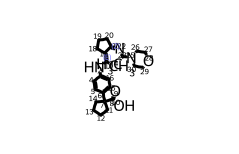 C/C(Nc1ccc(C2(C(=O)O)CCCC2)cc1)=C1/CCC/C1=N/C(C)N1CCOCC1